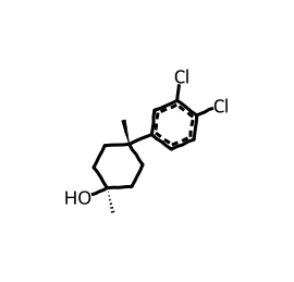 C[C@]1(O)CC[C@](C)(c2ccc(Cl)c(Cl)c2)CC1